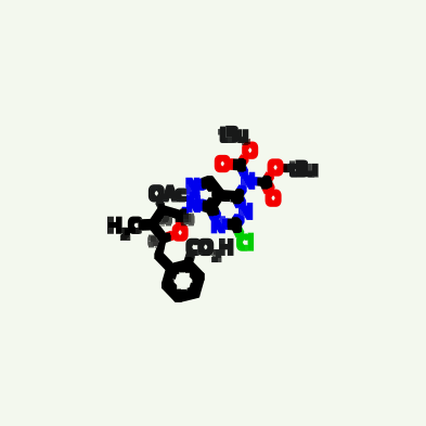 C=C1[C@H](Cc2ccccc2C(=O)O)O[C@@H](n2ncc3c(N(C(=O)OC(C)(C)C)C(=O)OC(C)(C)C)nc(Cl)nc32)[C@@H]1OC(C)=O